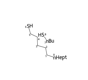 CCCCCCCCCCCCS.CCCCS